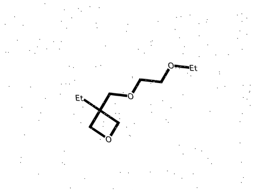 CCOCCOCC1(CC)COC1